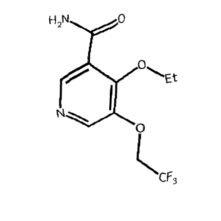 CCOc1c(OCC(F)(F)F)cncc1C(N)=O